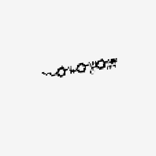 CCCCc1ccc(N=Nc2ccc(NC(=O)c3ccc(NS(C)(=O)=O)cc3)cc2)cc1